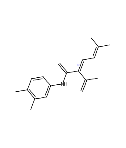 C=C(C)/C(=C\C=C(C)C)C(=C)Nc1ccc(C)c(C)c1